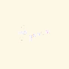 COc1ccc(-c2[nH]c(-c3ccccc3)nc2CCNS(=O)(=O)N2CCN(c3ccc([N+](=O)[O-])cc3)CC2)cc1